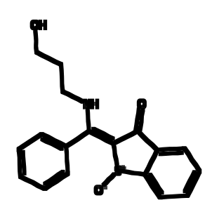 O=C1C(=C(NCCCO)c2ccccc2)[S+]([O-])c2ccccc21